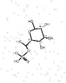 O=P(O)(O)OC(O)[C@H]1OC(O)[C@H](O)[C@@H](O)[C@@H]1O